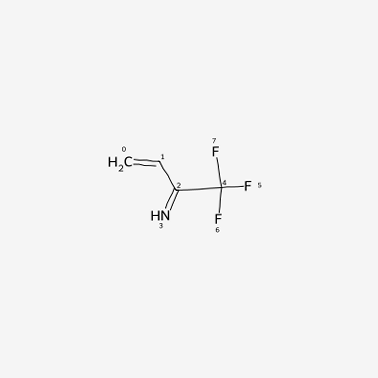 C=CC(=N)C(F)(F)F